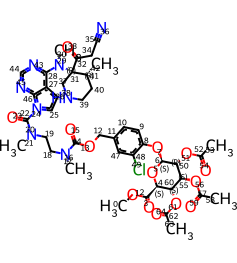 COC(=O)[C@H]1O[C@@H](Oc2ccc(COC(=O)N(C)CCN(C)C(=O)n3ccc4c(N(C)[C@@]5(C(=O)CC#N)CNCC[C@H]5C)ncnc43)cc2Cl)[C@H](OC(C)=O)[C@@H](OC(C)=O)[C@@H]1OC(C)=O